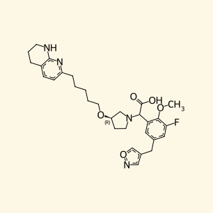 COc1c(F)cc(Cc2cnoc2)cc1C(C(=O)O)N1CC[C@@H](OCCCCCc2ccc3c(n2)NCCC3)C1